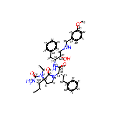 CC[C@H](C)[C@@]1(N(CC)C(N)=O)CCN([C@@H](CCc2ccccc2)C(=O)N[C@@H](Cc2ccccc2)[C@H](O)CNCc2cccc(OC)c2)C1=O